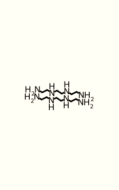 NCCNCCNCCN.NCCNCCNCCN